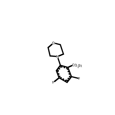 CCOC(=O)c1c(F)cc(F)cc1N1CCOCC1